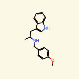 COc1ccc(CNC(C)Cc2c[nH]c3ccccc23)cc1